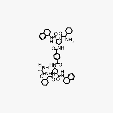 CCN[C@@H](C)C(=O)N[C@H](C(=O)N1C[C@@H](NC(=O)c2ccc(C(=O)N[C@H]3C[C@@H](C(=O)N[C@@H]4CCCc5ccccc54)N(C(=O)[C@@H](N)C4CCCCC4)C3)cc2)C[C@H]1C(=O)N[C@@H]1CCCc2ccccc21)C1CCCCC1